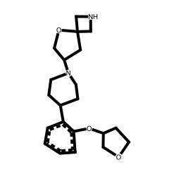 c1ccc(C2CCN(C3COC4(CNC4)C3)CC2)c(OC2CCOC2)c1